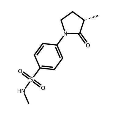 CNS(=O)(=O)c1ccc(N2CC[C@H](C)C2=O)cc1